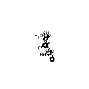 CN(C)C1CN(c2cc(Cl)cc(NNC(=O)[C@H](CC3CCCC3)CN(O)C=O)c2F)CC12CC2